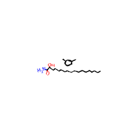 CCCCCCCCCCCCCCCCC(O)C(N)=O.Cc1cccc(C)c1